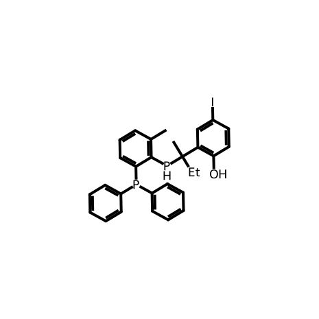 CCC(C)(Pc1c(C)cccc1P(c1ccccc1)c1ccccc1)c1cc(I)ccc1O